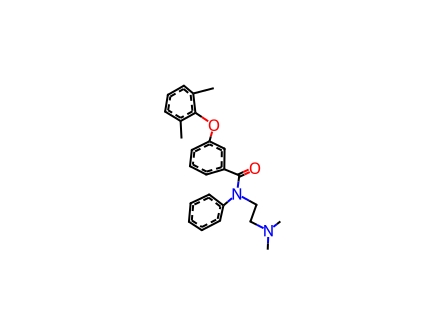 Cc1cccc(C)c1Oc1cccc(C(=O)N(CCN(C)C)c2ccccc2)c1